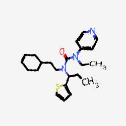 CCC(c1cccs1)N(CCC1CCCCC1)C(=O)N(CC)c1ccncc1